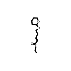 CCOC(=O)/C=C/CCOC1CCCCO1